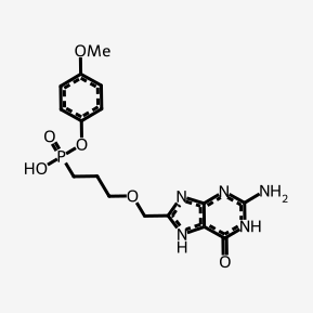 COc1ccc(OP(=O)(O)CCCOCc2nc3nc(N)[nH]c(=O)c3[nH]2)cc1